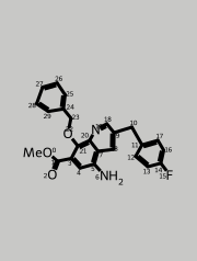 COC(=O)c1cc(N)c2cc(Cc3ccc(F)cc3)cnc2c1OCc1ccccc1